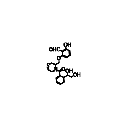 O=Cc1c(O)cccc1OCC1CSCCN1C(=O)c1ccccc1C(O)CO